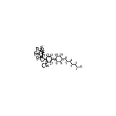 CCCCCCCC1CCC(c2ccc(OC(F)(F)C(F)C(F)(F)F)c(Cl)c2)CC1